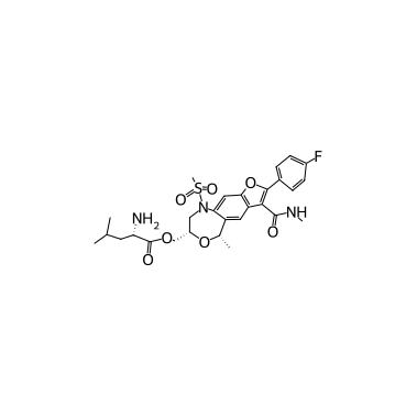 CNC(=O)c1c(-c2ccc(F)cc2)oc2cc3c(cc12)[C@H](C)O[C@H](COC(=O)[C@@H](N)CC(C)C)CN3S(C)(=O)=O